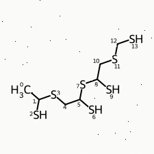 CC(S)SCC(S)SC(S)CSCS